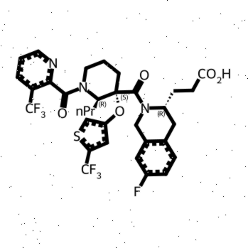 CCC[C@H]1N(C(=O)c2ncccc2C(F)(F)F)CCC[C@@]1(Oc1csc(C(F)(F)F)c1)C(=O)N1Cc2cc(F)ccc2C[C@H]1CCC(=O)O